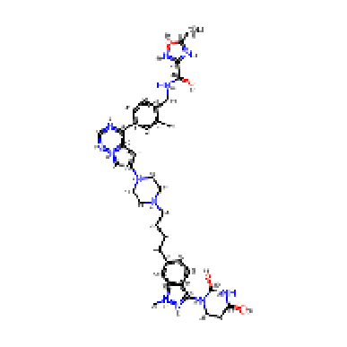 Cc1cc(-c2ncnn3cc(N4CCN(CCCCc5ccc6c(N7CCC(=O)NC7=O)nn(C)c6c5)CC4)cc23)ccc1CNC(=O)c1noc(C(C)(C)C)n1